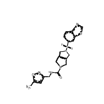 Cc1cc(CNC(=O)N2CC3=C(C2)CN(S(=O)(=O)c2ccc4ncsc4c2)C3)no1